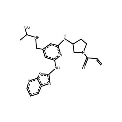 C=CC(=O)N1CCC(Nc2cc(CNC(C)C(C)(C)C)cc(Nc3nc4cccnc4s3)n2)C1